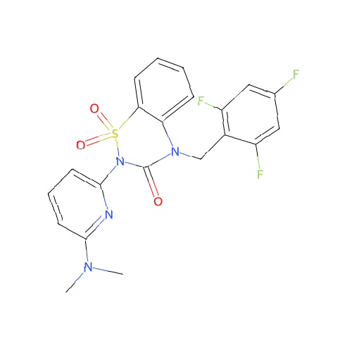 CN(C)c1cccc(N2C(=O)N(Cc3c(F)cc(F)cc3F)c3ccccc3S2(=O)=O)n1